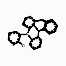 Clc1ccccc1N1c2ccccc2C23c4ccccc4C(c4ccccc42)c2cccc1c23